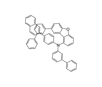 c1ccc(-c2cccc(-c3ccc4oc5cccc(N(c6ccc(-c7ccc8ccccc8c7)cc6)c6cccc(-c7ccccc7)c6)c5c4c3)c2)cc1